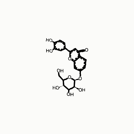 O=c1cc(-c2ccc(O)c(O)c2)oc2cc(O[C@@H]3OC(CO)[C@@H](O)C(O)[C@@H]3O)ccc12